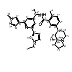 CCn1ccc(-c2cc([C@@H](C)NC(=O)c3cc(N4CCN5CCC[C@@H]5C4)ccc3C)cc(-c3cnn(C)c3)n2)n1